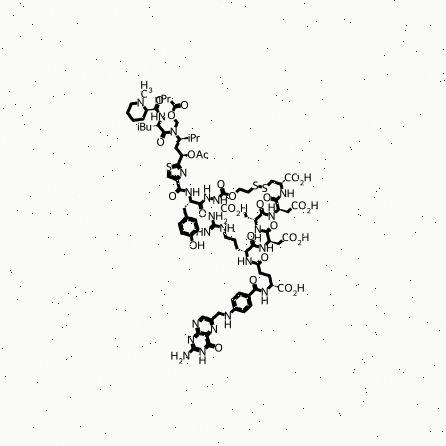 CCCC(=O)OCN(C(=O)C(NC(=O)[C@H]1CCCCN1C)[C@@H](C)CC)[C@H](C[C@@H](OC(C)=O)c1nc(C(=O)N[C@@H](Cc2ccc(O)cc2)C(=O)NNC(=O)OCCSSC[C@@H](NC(=O)[C@@H](CC(=O)O)NC(=O)[C@@H](CC(=O)O)NC(=O)[C@@H](CC(=O)O)NC(=O)[C@@H](CCCNC(=N)N)NC(=O)CC[C@@H](NC(=O)c2ccc(NCc3cnc4nc(N)[nH]c(=O)c4n3)cc2)C(=O)O)C(=O)O)cs1)C(C)C